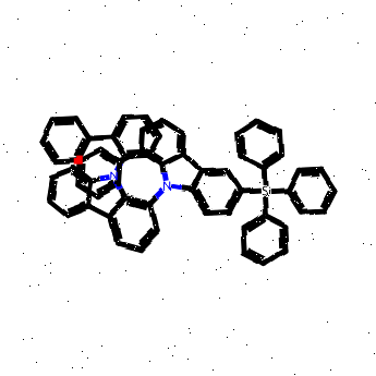 c1ccc(-c2ccccc2-n2c3ccccc3c3cccc(-n4c5ccc([Si](c6ccccc6)(c6ccccc6)c6ccccc6)cc5c5cccc(-c6ccccc6)c54)c32)cc1